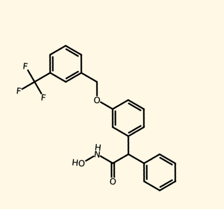 O=C(NO)C(c1ccccc1)c1cccc(OCc2cccc(C(F)(F)F)c2)c1